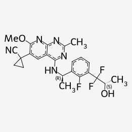 COc1nc2nc(C)nc(N[C@H](C)c3cccc(C(F)(F)[C@H](C)O)c3F)c2cc1C1(C#N)CC1